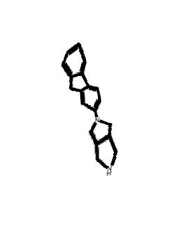 c1ccc2c(c1)Cc1cc(N3CC4CNCC4C3)ccc1-2